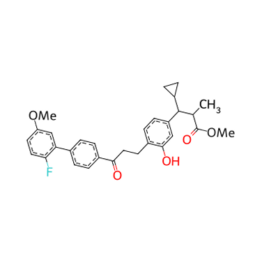 COC(=O)C(C)C(c1ccc(CCC(=O)c2ccc(-c3cc(OC)ccc3F)cc2)c(O)c1)C1CC1